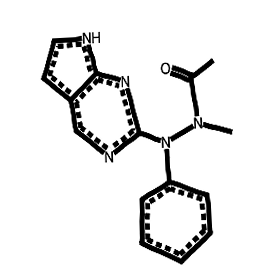 CC(=O)N(C)N(c1ccccc1)c1ncc2cc[nH]c2n1